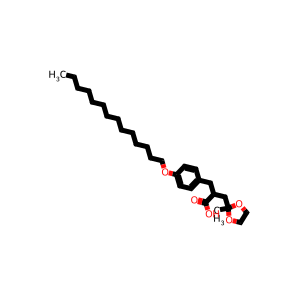 CCCCCCCCCCCCCCOc1ccc(CC(CC2(C)OCCO2)C(=O)O)cc1